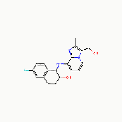 Cc1nc2c(NC3c4ccc(F)cc4CCC3O)cccn2c1CO